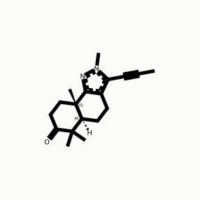 CC#Cc1c2c(nn1C)[C@@]1(C)CCC(=O)C(C)(C)[C@@H]1CC2